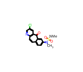 CNS(=O)(=O)N(C)c1ccc2ccc3ncc(Cl)cc3c(=O)c2c1